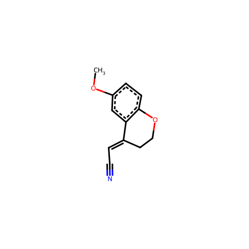 COc1ccc2c(c1)C(=CC#N)CCO2